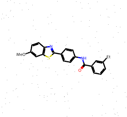 CCc1cccc(C(=O)Nc2ccc(-c3nc4ccc(OC)cc4s3)cc2)c1